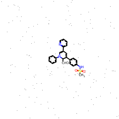 CS(=O)(=O)Nc1ccc(C2=CC(c3ccccn3)=CN(c3ccccc3)C2C=O)cc1